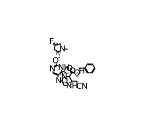 CN1C[C@H](F)C[C@H]1COC1=NC=C([N+](=O)[O-])[C@@](C(=O)O)(N2CCNC(CC#N)C2C(=O)OCc2ccccc2)N1